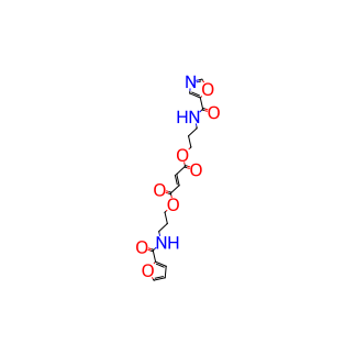 O=C(/C=C/C(=O)OCCCNC(=O)c1cnco1)OCCCNC(=O)c1ccco1